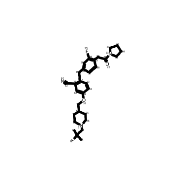 CC(C)(F)CN1CCC(COc2ccc(Cc3ccc(CC(=O)N4CCCC4)c(F)c3)c(C#N)c2)CC1